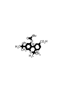 CCCC(C)(C)c1cc(OC(=O)C(C)(C)C)c2c(c1)OC(C)(C)[C@@H]1CC=C(C(=O)O)C[C@@H]21